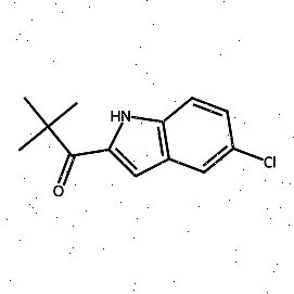 CC(C)(C)C(=O)c1cc2cc(Cl)ccc2[nH]1